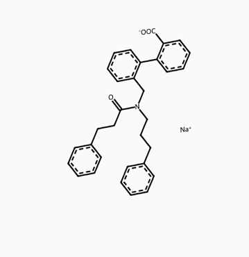 O=C([O-])c1ccccc1-c1ccccc1CN(CCCc1ccccc1)C(=O)CCc1ccccc1.[Na+]